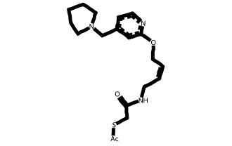 CC(=O)SCC(=O)NC/C=C\COc1cc(CN2CCCCC2)ccn1